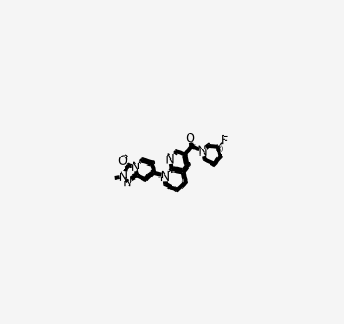 Cn1nc2cc(N3CCCc4cc(C(=O)N5CCC[C@@H](F)C5)cnc43)ccn2c1=O